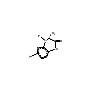 CC(C)N1c2nc(Br)ccc2NC(=O)[C@H]1C